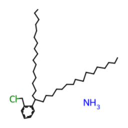 CCCCCCCCCCCCCCCCC(CCCCCCCCCCCCCCCC)c1ccccc1CCl.N